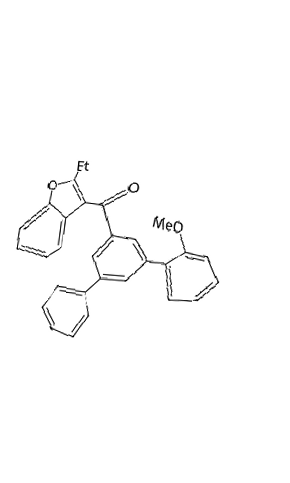 CCc1oc2ccccc2c1C(=O)c1cc(-c2ccccc2)cc(-c2ccccc2OC)c1